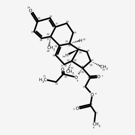 CCC(=O)OCC(=O)[C@]1(OC(=O)CC)[C@@H](C)C[C@H]2[C@@H]3CCC4=CC(=O)C=C[C@]4(C)C3=CC[C@@]21C